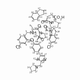 CC(NCc1ccc(Cl)cc1Oc1ccc(-c2cnc(CN3CCCC3)n2C)cc1)C(=O)N1[C@H](C(=O)N[C@@]2(Cc3ccc(Cl)cc3)CCCN(C(=O)C(CC(=O)O)[C@H]3CCc4ccccc43)C2)COC1(C)C